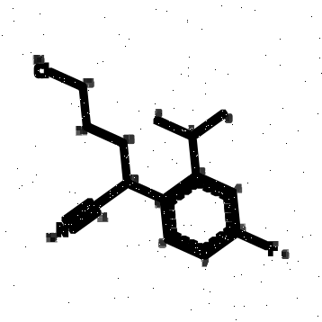 CC(C)c1cc(F)ccc1C(C#N)CCCCl